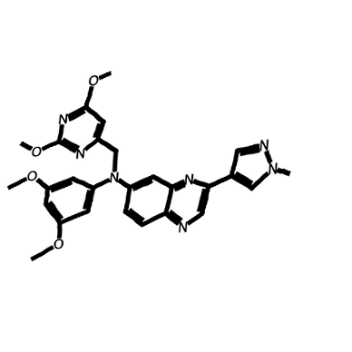 COc1cc(OC)cc(N(Cc2cc(OC)nc(OC)n2)c2ccc3ncc(-c4cnn(C)c4)nc3c2)c1